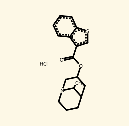 CC1C2CCCN1CC(OC(=O)c1csc3ccccc13)C2.Cl